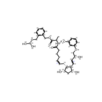 CC(NC(=O)CCC/C=C\C[C@@H]1[C@@H](/C=C/[C@@H](O)COc2cccc(C(F)(F)F)c2)[C@H](O)C[C@@H]1O)C(=O)OCc1ccccc1CON(O)O